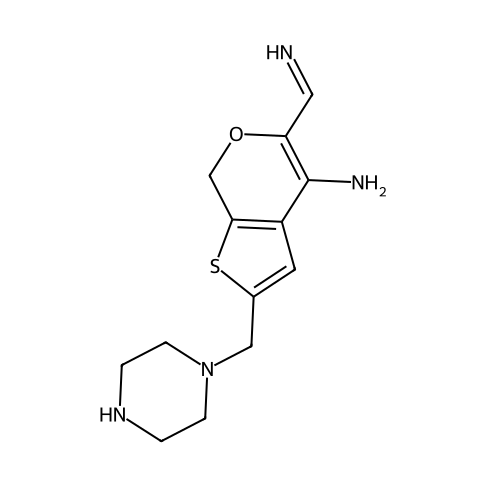 N=CC1=C(N)c2cc(CN3CCNCC3)sc2CO1